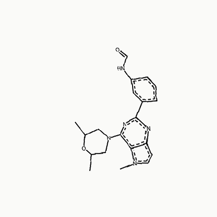 CC1CN(c2nc(-c3cccc(NC=O)c3)nc3ccn(C)c23)CC(C)O1